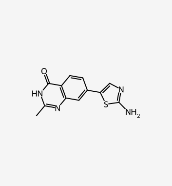 Cc1nc2cc(-c3cnc(N)s3)ccc2c(=O)[nH]1